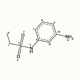 CCS(=O)(=O)Nc1cccc(N)c1